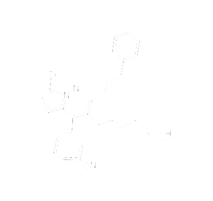 CCc1ccc2c(-c3cccc(C#N)c3)c(CCCCC(=O)O)c(COCc3ccccc3)nn12